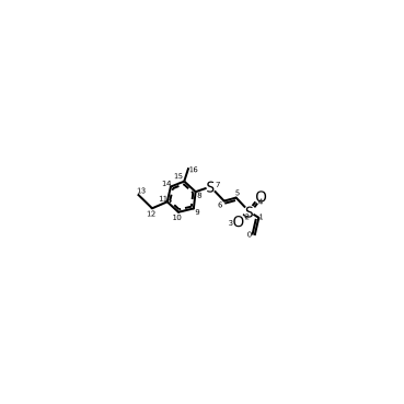 C=CS(=O)(=O)C=CSc1ccc(CC)cc1C